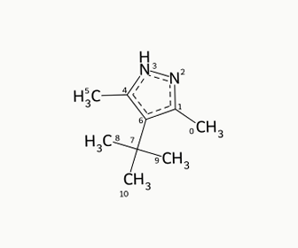 Cc1n[nH]c(C)c1C(C)(C)C